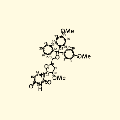 COc1ccc(C(OCC2CC(OC)C(n3ccc(=O)[nH]c3=O)O2)(c2ccccc2)c2ccc(OC)cc2)cc1